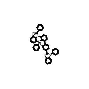 O=P1(c2ccccc2)c2c(-c3ccc(-c4nc5ccccc5n4-c4ccccc4)cc3)cccc2-n2c(-c3ccccc3)nc3cccc1c32